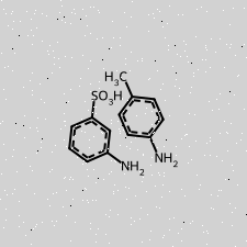 Cc1ccc(N)cc1.Nc1cccc(S(=O)(=O)O)c1